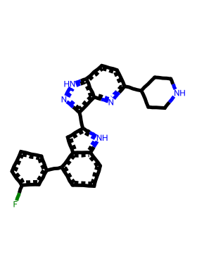 Fc1cccc(-c2cccc3[nH]c(-c4n[nH]c5ccc(C6CCNCC6)nc45)cc23)c1